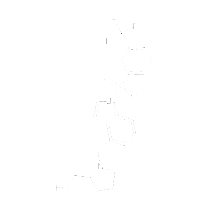 O=S(=O)(c1cccc(C(F)(F)F)c1)n1ccc2c(CN3CCCC3CO)cccc21